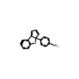 Nc1ccc(C23C=CC=C2c2c#cccc2S3)cc1